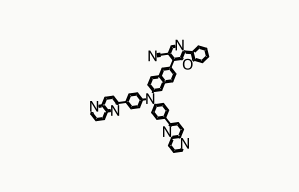 N#Cc1cnc2c(oc3ccccc32)c1-c1ccc2cc(N(c3ccc(-c4ccc5ncccc5n4)cc3)c3ccc(-c4ccc5ncccc5n4)cc3)ccc2c1